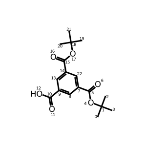 CC(C)(C)OC(=O)c1cc(C(=O)O)cc(C(=O)OC(C)(C)C)c1